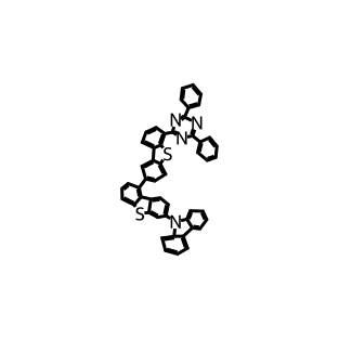 c1ccc(-c2nc(-c3ccccc3)nc(-c3cccc4c3sc3ccc(-c5cccc6sc7cc(-n8c9ccccc9c9ccccc98)ccc7c56)cc34)n2)cc1